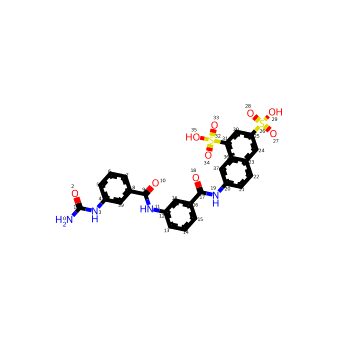 NC(=O)Nc1cccc(C(=O)Nc2cccc(C(=O)Nc3ccc4cc(S(=O)(=O)O)cc(S(=O)(=O)O)c4c3)c2)c1